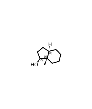 C[C@]12CCCC[C@@H]1CC[C@@H]2O